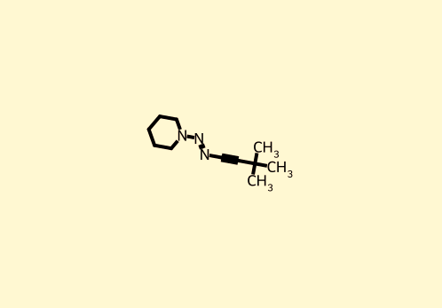 CC(C)(C)C#CN=NN1CCCCC1